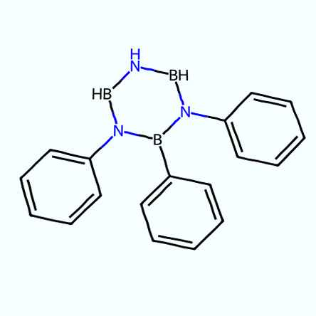 B1NBN(c2ccccc2)B(c2ccccc2)N1c1ccccc1